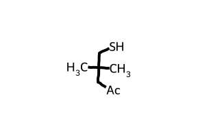 CC(=O)CC(C)(C)CS